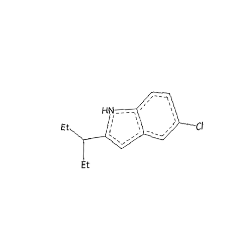 CCC(CC)c1cc2cc(Cl)ccc2[nH]1